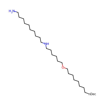 CCCCCCCCCCCCCCCCCCOCCCCCCNCCCCCCCCCCN